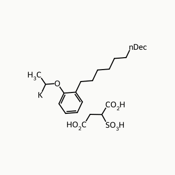 CCCCCCCCCCCCCCCCc1ccccc1O[CH](C)[K].O=C(O)CC(C(=O)O)S(=O)(=O)O